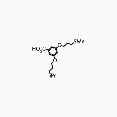 CSCCCOc1cc(OCCCC(C)C)cc(C(=O)O)c1